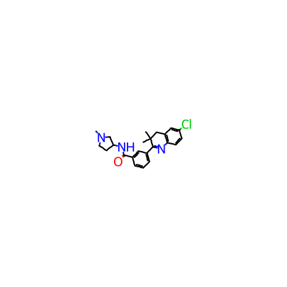 CN1CCC(NC(=O)c2cccc(C3=Nc4ccc(Cl)cc4CC3(C)C)c2)C1